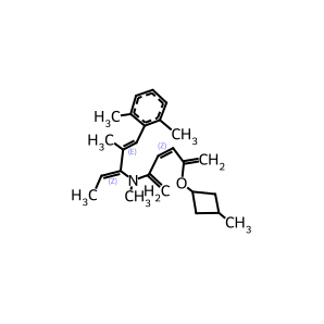 C=C(/C=C\C(=C)N(C)C(=C\C)/C(C)=C/c1c(C)cccc1C)OC1CC(C)C1